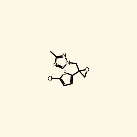 Cc1ncn(CC2(c3ccc(Cl)s3)CO2)n1